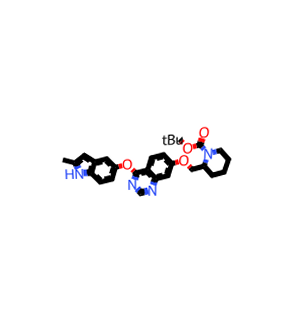 Cc1cc2cc(Oc3ncnc4cc(OCC5CCCCN5C(=O)OC(C)(C)C)ccc34)ccc2[nH]1